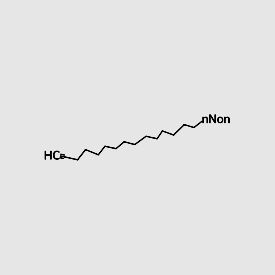 C#CCCCCCCCCCCCCCCCCCCCCC[CH2]